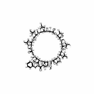 CO[C@H]([C@H](C)CC(=O)NCc1ccccc1)[C@@H]1C(=O)N[C@H]([C@@H](C)OC)C(=O)N(C)CC(=O)N(C)[C@@H](CC(C)C)C(=O)N[C@H](CC(C)C)C(=O)N(C)[C@H](CC(C)C)C(=O)N[C@H](C)C(=O)O[C@@H](C(C)C)C(=O)N(C)[C@H](CC(C)C)C(=O)N[C@H](CC(C)C)C(=O)N(C)[C@H](C(C)C)C(=O)N1C